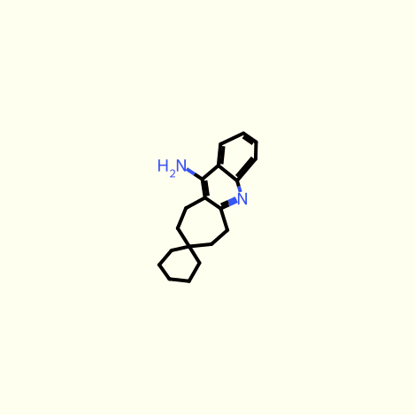 Nc1c2c(nc3ccccc13)CCC1(CCCCC1)CC2